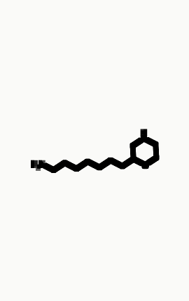 NCCCCCCCC1CNCCO1